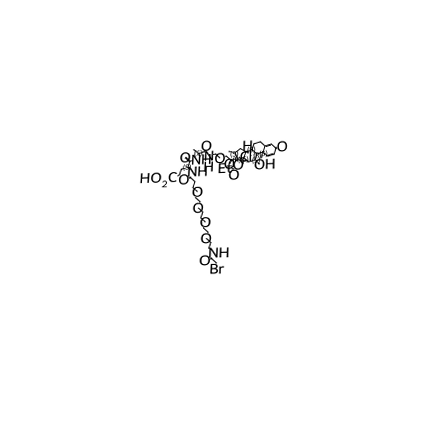 CCC(=O)O[C@]1(C(=O)COCNC(=O)[C@H](C)NC(=O)[C@H](CCC(=O)O)NC(=O)CCOCCOCCOCCOCCNC(=O)CBr)[C@@H](C)CC2[C@@H]3CCC4=CC(=O)C=C[C@]4(C)[C@@]3(Cl)[C@@H](O)C[C@@]21C